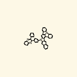 c1ccc(-c2nc3ccccc3nc2-c2ccc(-n3c4cc5ccccc5cc4c4c5c6ccccc6n6c7ccccc7c(cc43)c56)cc2)cc1